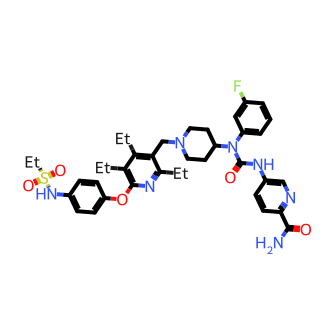 CCc1nc(Oc2ccc(NS(=O)(=O)CC)cc2)c(CC)c(CC)c1CN1CCC(N(C(=O)Nc2ccc(C(N)=O)nc2)c2cccc(F)c2)CC1